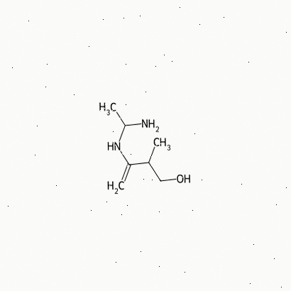 C=C(NC(C)N)C(C)CO